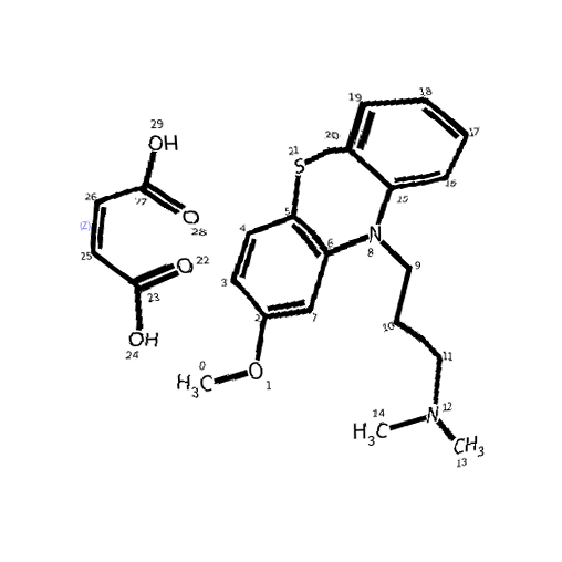 COc1ccc2c(c1)N(CCCN(C)C)c1ccccc1S2.O=C(O)/C=C\C(=O)O